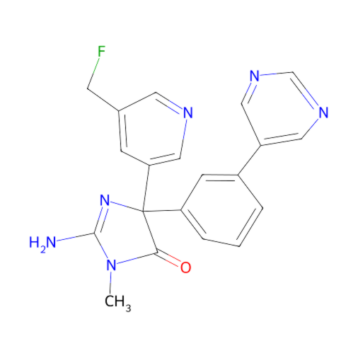 CN1C(=O)C(c2cncc(CF)c2)(c2cccc(-c3cncnc3)c2)N=C1N